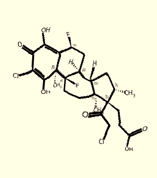 C[C@H]1C[C@H]2[C@@H]3C[C@H](F)C4=C(O)C(=O)C(Cl)=C(O)[C@]4(C)[C@@]3(F)CC[C@]2(C)[C@@]1(CCC(=O)O)C(=O)CCl